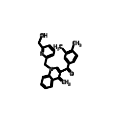 C=C1C(C(=O)c2ccc(C)c(C)c2)=CN(Cc2cccc(CO)n2)c2ccccc21